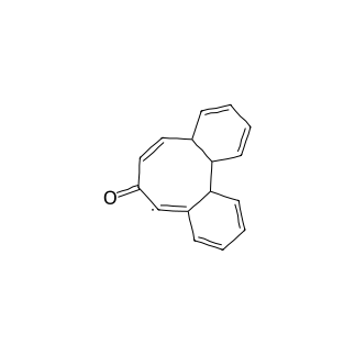 O=C1/[C]=C2/C=CC=CC2C2C=CC=CC2/C=C\1